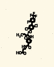 CC[C@H](C)[C@@H](COc1cc(Cl)c(-c2ccc(C(F)(F)F)cc2F)cc1Cl)Nc1ccc(C(=O)NCCC(=O)O)cc1